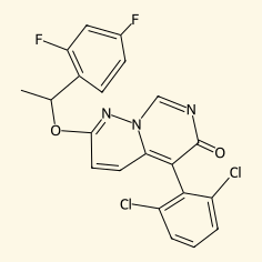 CC(Oc1ccc2c(-c3c(Cl)cccc3Cl)c(=O)ncn2n1)c1ccc(F)cc1F